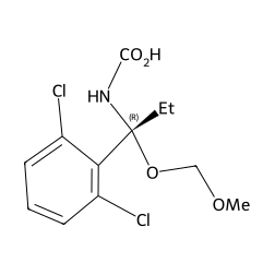 CC[C@@](NC(=O)O)(OCOC)c1c(Cl)cccc1Cl